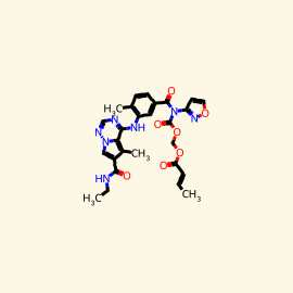 C/C=C/C(=O)OCOC(=O)N(C(=O)c1ccc(C)c(Nc2ncnn3cc(C(=O)NCC)c(C)c23)c1)c1ccon1